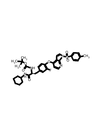 Cc1ccc(S(=O)(=O)n2ccc3c(Oc4ccc(C[C@H](NC(=O)OC(C)(C)C)C(=O)NC5CCCCC5)cc4F)ccnc32)cc1